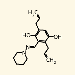 C=CCc1cc(O)c(CC=C)c(C=NN2CCCCC2)c1O